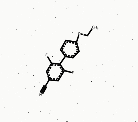 CCOc1ccc(-c2c(F)cc(C#N)cc2F)cc1